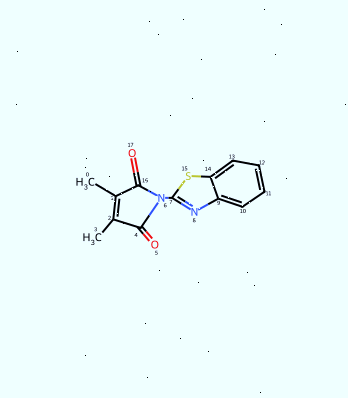 CC1=C(C)C(=O)N(c2nc3ccccc3s2)C1=O